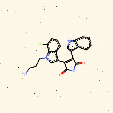 NCCCn1cc(C2=C(c3c[nH]c4ccccc34)C(=O)NC2=O)c2cccc(F)c21